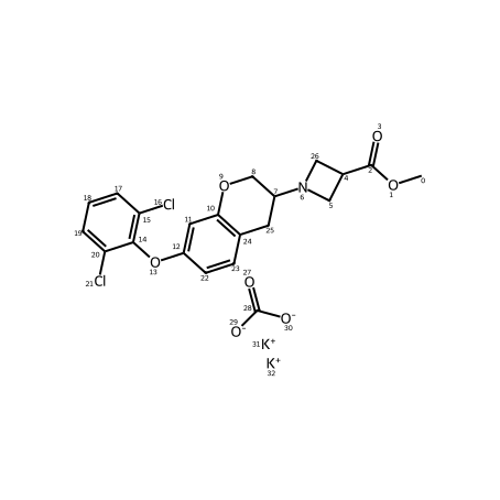 COC(=O)C1CN(C2COc3cc(Oc4c(Cl)cccc4Cl)ccc3C2)C1.O=C([O-])[O-].[K+].[K+]